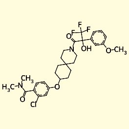 COc1cccc(C(O)(C(=O)N2CCC3(CCC(Oc4ccc(C(=O)N(C)C)c(Cl)c4)CC3)CC2)C(F)(F)F)c1